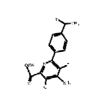 COC(=O)c1nc(-c2ccc(C(C)F)cc2)c(F)c(N)c1Cl